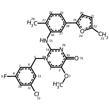 COc1cn(Cc2cc(F)cc(Cl)c2)c(Nc2cc(-c3ccc(C)o3)ccc2C)nc1=O